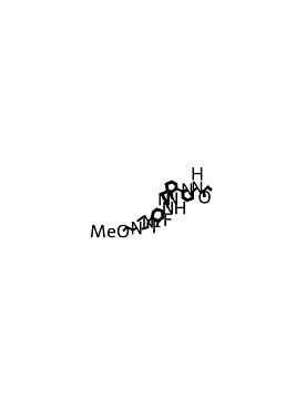 C=CC(=O)Nc1cccc(-c2cccc3cnc(Nc4ccc(N5CCN(CCOC)CC5)c(F)c4F)nc23)n1